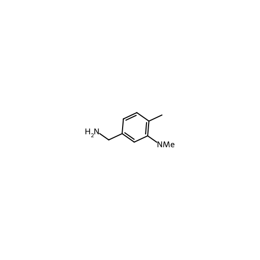 CNc1cc(CN)ccc1C